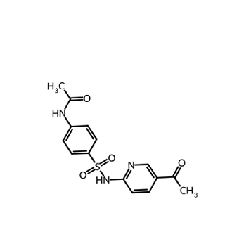 CC(=O)Nc1ccc(S(=O)(=O)Nc2ccc(C(C)=O)cn2)cc1